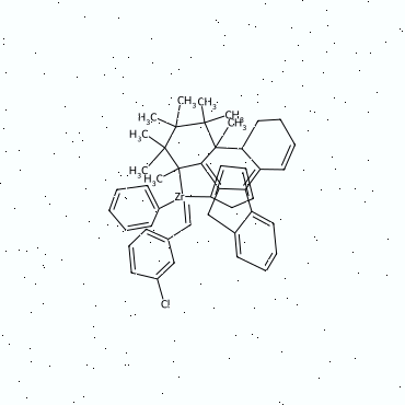 CC12C(=C3Cc4ccccc4C3=C3C=CCCC31)[C](C)([Zr](=[CH]c1cccc(Cl)c1)([C]1=CC=CC1)[c]1ccccc1)C(C)(C)C(C)(C)C2(C)C